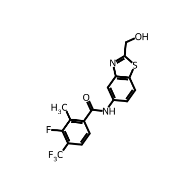 Cc1c(C(=O)Nc2ccc3sc(CO)nc3c2)ccc(C(F)(F)F)c1F